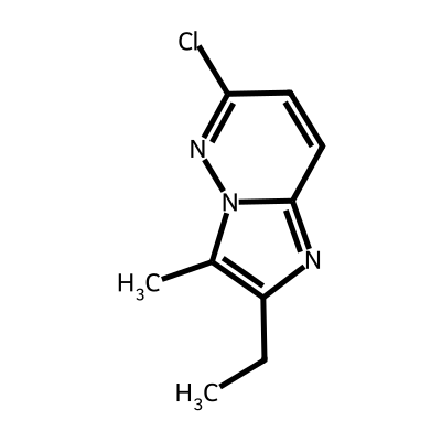 CCc1nc2ccc(Cl)nn2c1C